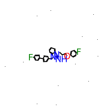 N=c1n(CCCOc2ccc(F)cc2)c2ccccc2n1Cc1ccc(-c2ccc(F)cc2)cc1